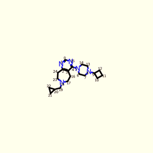 c1nc2c(c(N3CCN(C4CCC4)CC3)n1)CCN(CC1CC1)CC2